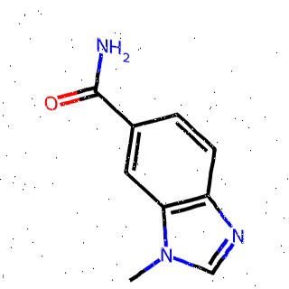 Cn1cnc2ccc(C(N)=O)cc21